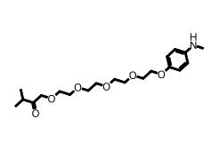 CNc1ccc(OCCOCCOCCOCCOCC(=O)C(C)C)cc1